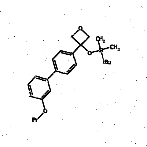 CC(C)Oc1[c]ccc(-c2ccc(C3(O[Si](C)(C)C(C)(C)C)COC3)cc2)c1